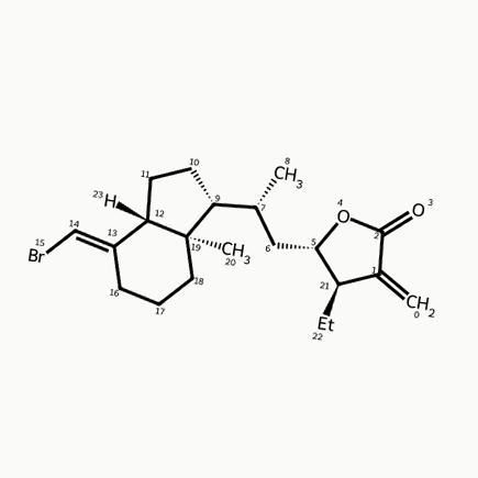 C=C1C(=O)O[C@@H](C[C@@H](C)[C@H]2CC[C@H]3/C(=C/Br)CCC[C@]23C)[C@@H]1CC